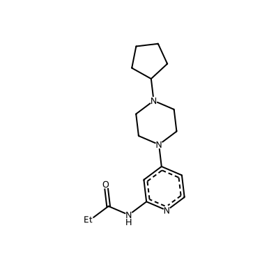 CCC(=O)Nc1cc(N2CCN(C3CCCC3)CC2)ccn1